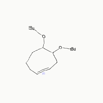 CC(C)(C)OC1C/C=C\CCCC1OC(C)(C)C